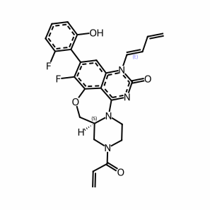 C=C/C=C/n1c(=O)nc2c3c(c(F)c(-c4c(O)cccc4F)cc31)OC[C@@H]1CN(C(=O)C=C)CCN21